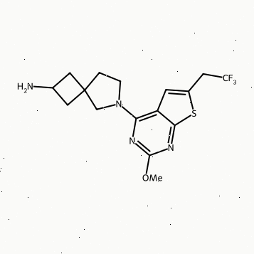 COc1nc(N2CCC3(CC(N)C3)C2)c2cc(CC(F)(F)F)sc2n1